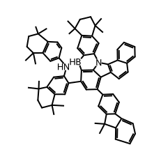 CC1(C)CCC(C)(C)c2cc(Nc3cc4c(cc3-c3cc(-c5ccc6c(c5)C(C)(C)c5ccccc5-6)c5c6ccc7ccccc7c6n6c5c3Bc3cc5c(cc3-6)C(C)(C)CCC5(C)C)C(C)(C)CCC4(C)C)ccc21